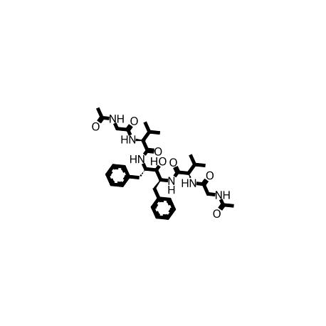 CC(=O)NCC(=O)N[C@H](C(=O)N[C@@H](Cc1ccccc1)C(O)[C@H](Cc1ccccc1)NC(=O)[C@@H](NC(=O)CNC(C)=O)C(C)C)C(C)C